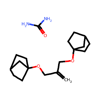 C=C(COC12CCC(CC1)C2)COC12CCC(CC1)C2.NC(N)=O